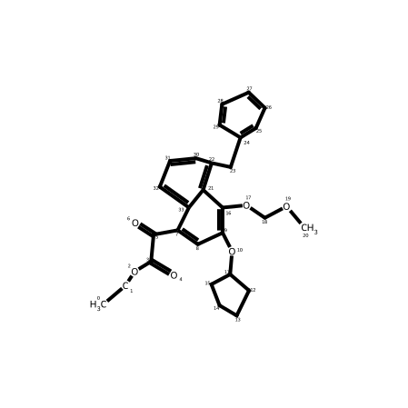 CCOC(=O)C(=O)c1cc(OC2CCCC2)c(OCOC)c2c(Cc3ccccc3)cccc12